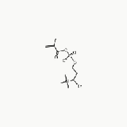 C=C(C)C(=O)OP(=O)([O-])OCCC(CC)[N+](C)(C)C